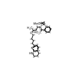 CO[C@H]1C[C@@H]1c1ccccc1C(C(=O)O)N(C)CC[C@H](C)OCCCCc1ccc2c(n1)NCCC2